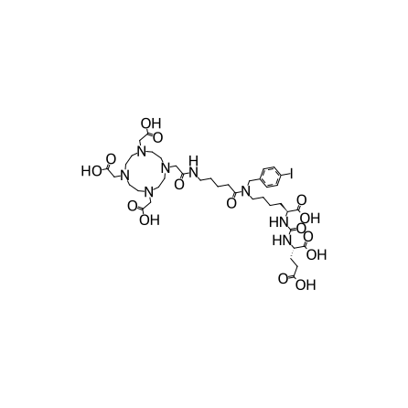 O=C(O)CC[C@H](NC(=O)N[C@@H](CCCCN(Cc1ccc(I)cc1)C(=O)CCCCNC(=O)CN1CCN(CC(=O)O)CCN(CC(=O)O)CCN(CC(=O)O)CC1)C(=O)O)C(=O)O